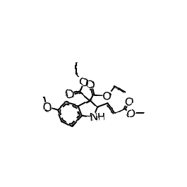 CCOC(=O)C1(C(=O)OCC)c2cc(OC)ccc2NC1/C=C/C(=O)OC